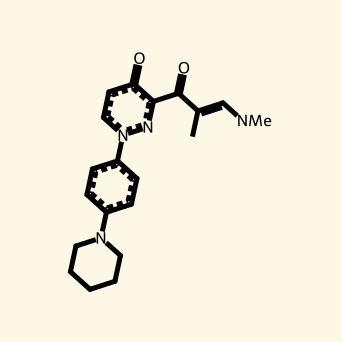 CN/C=C(\C)C(=O)c1nn(-c2ccc(N3CCCCC3)cc2)ccc1=O